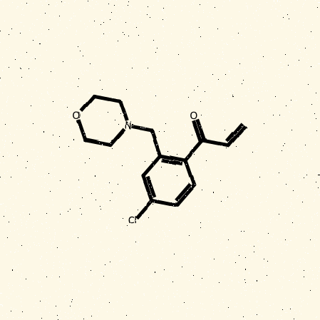 C=CC(=O)c1ccc(Cl)cc1CN1CCOCC1